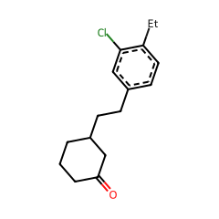 CCc1ccc(CCC2CCCC(=O)C2)cc1Cl